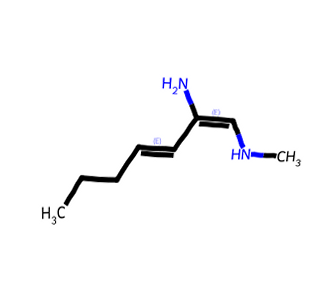 CCC/C=C/C(N)=C\NC